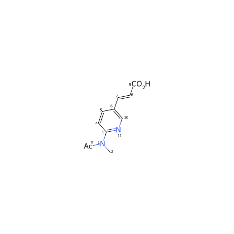 CC(=O)N(C)c1ccc(C=CC(=O)O)cn1